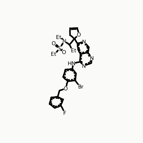 CCC(N(CC)S(=O)(=O)CC)C1(c2cc3c(Nc4ccc(OCc5cccc(F)c5)c(Br)c4)ncnc3cn2)CC=CO1